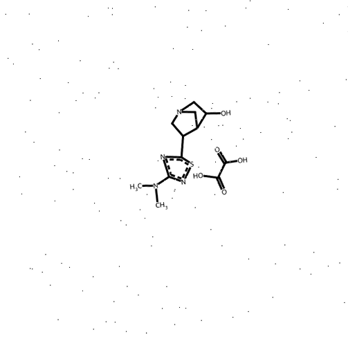 CN(C)c1nsc(C2CN3CC(O)C2C3)n1.O=C(O)C(=O)O